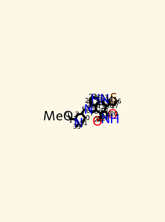 COCC1CC(Cn2cc(C3=C(c4c[nH]c5sccc45)C(=O)NC3=O)c3ccccc32)CCN1C